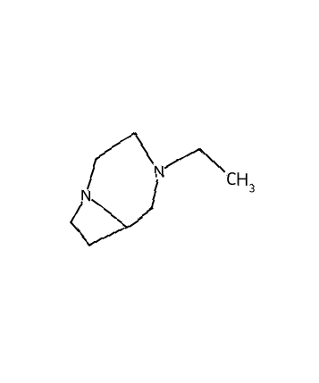 CCN1CCN2CCC2C1